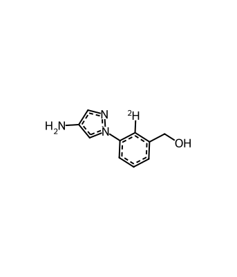 [2H]c1c(CO)cccc1-n1cc(N)cn1